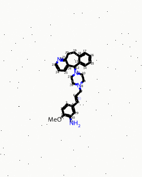 COc1ccc(/C=C/CN2CCN(C3c4ccccc4CCc4ncccc43)CC2)cc1N